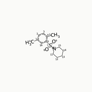 Cc1ccc(C)c(S(=O)(=O)N2CCCCC2)c1